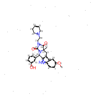 COc1ccc2[nH]c3c(c2c1)CC1(C)C(=O)N(CCN2CC=CCC2)C(=O)N1C3c1cccc(O)c1